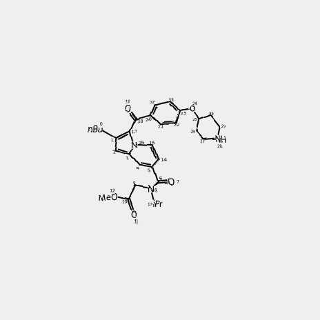 CCCCc1cc2cc(C(=O)N(CC(=O)OC)C(C)C)ccn2c1C(=O)c1ccc(OC2CCNCC2)cc1